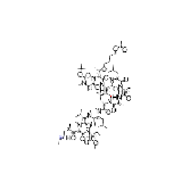 C/C=C/C[C@@H](C)[C@@H](O)[C@@H](C(=O)N[C@@H](CC)C(=O)OC)N(C)C(=O)[C@H](C(C)C)N(C)C(=O)[C@H](CC(C)C)N(C)C(=O)[C@H](CC(C)C)N(C)C(=O)[C@@H](C)NC(=O)[C@H](C)NC(=O)[C@H](CC(C)C)N(C)C(=O)[C@@H](NC(=O)[C@H]([C@H](C)OCCCCOC(C)=O)N(C)C(=O)[C@@H](C)N(C)C(=O)OC(C)(C)C)C(C)C